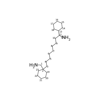 NCC1(CCCCCCCCC(N)C2CCCCC2)CCCCC1